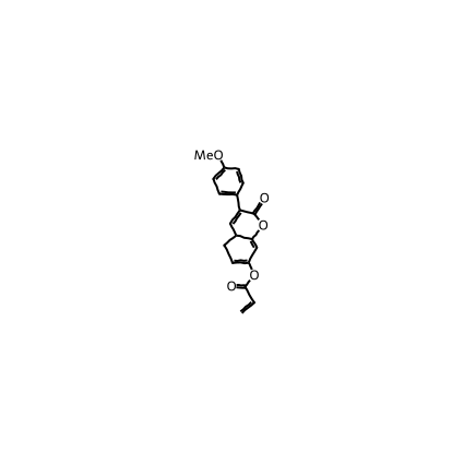 C=CC(=O)OC1=CCC2C=C(c3ccc(OC)cc3)C(=O)OC2=C1